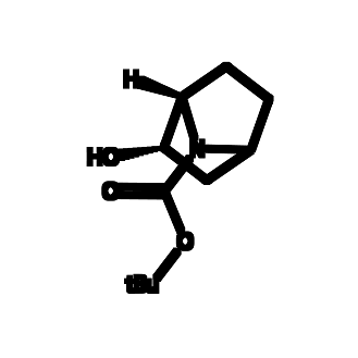 CC(C)(C)OC(=O)N1C2CC[C@H]1[C@@H](O)C2